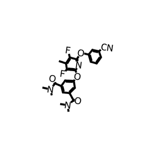 Cc1c(F)c(Oc2cccc(C#N)c2)nc(Oc2cc(C(=O)N(C)C)cc(C(=O)N(C)C)c2)c1F